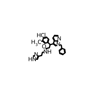 Cc1cccc(C(CC(=O)NCCc2c[nH]cn2)c2cn(Cc3ccccc3)c3ncccc23)c1.Cl